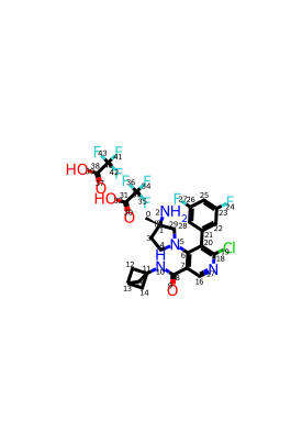 C[C@]1(N)CCN(c2c(C(=O)NC34CC(C3)C4)cnc(Cl)c2-c2cc(F)cc(F)c2)C1.O=C(O)C(F)(F)F.O=C(O)C(F)(F)F